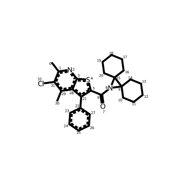 Cc1nc2sc(C(=O)N3C4(CCCCC4)C34CCCCC4)c(-c3ccccc3)c2c(C)c1Cl